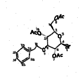 CC(=O)OC[C@H]1O[C@@H](Br)[C@H](OC(C)=O)[C@@H](OCc2ccccc2)[C@@H]1OC(C)=O